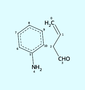 C=CCC=O.Nc1ccccc1